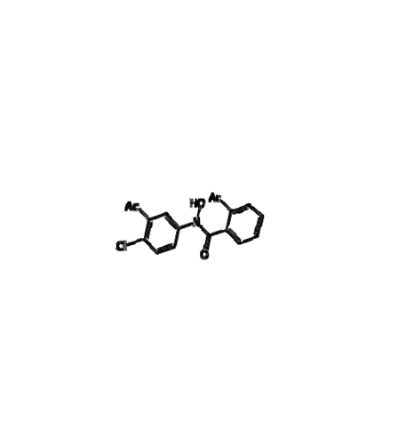 CC(=O)c1cc(N(O)C(=O)c2ccccc2C(C)=O)ccc1Cl